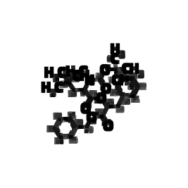 CN(C(=O)OC(C)(C)C)C(CC(C)(C)C)C(=O)OC(Cc1ccccc1)C(=O)OCc1ccccc1